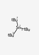 C[C](C)(C)[Sn]([C](C)(C)C)[C](C)(C)C